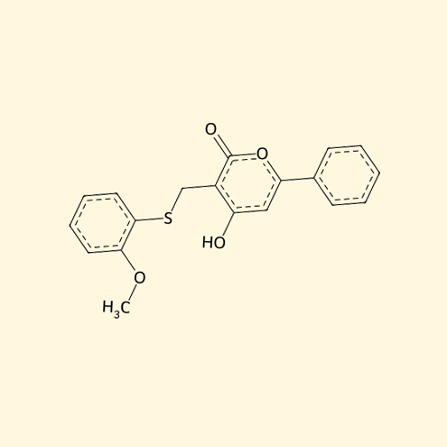 COc1ccccc1SCc1c(O)cc(-c2ccccc2)oc1=O